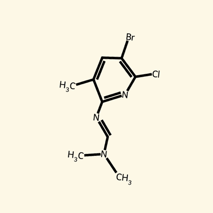 Cc1cc(Br)c(Cl)nc1N=CN(C)C